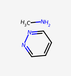 CN.c1ccnnc1